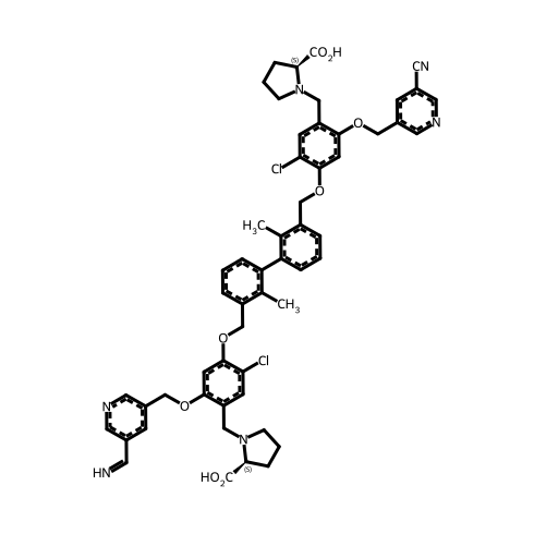 Cc1c(COc2cc(OCc3cncc(C#N)c3)c(CN3CCC[C@H]3C(=O)O)cc2Cl)cccc1-c1cccc(COc2cc(OCc3cncc(C=N)c3)c(CN3CCC[C@H]3C(=O)O)cc2Cl)c1C